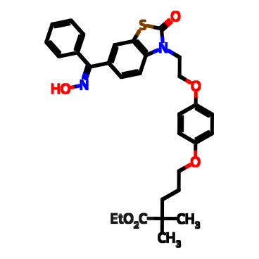 CCOC(=O)C(C)(C)CCCOc1ccc(OCCn2c(=O)sc3cc(C(=NO)c4ccccc4)ccc32)cc1